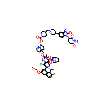 CCc1c(F)ccc2cc(OCOC)cc(-c3ncc4c(N5CC6CCC(C5)N6C(=O)OC(C)(C)C)nc(OC[C@@]56CCCN5[C@H](COC(=O)N5CCC(CN7CCC(c8ccc9c(c8)n(C)c(=O)n9C8CCC(=O)NC8=O)CC7)CC5)CC6)nc4c3F)c12